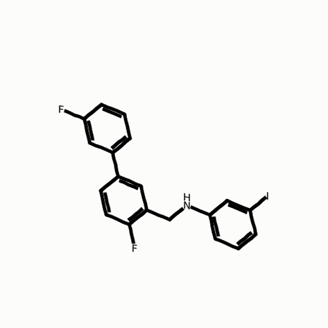 Fc1cccc(-c2ccc(F)c(CNc3cccc(I)c3)c2)c1